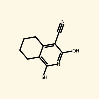 N#Cc1c(O)nc(S)c2c1CCCC2